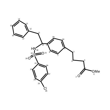 COC(=O)CCCc1ccc(C(Cc2ccccc2)NS(=O)(=O)c2ccc(Cl)cc2)cc1